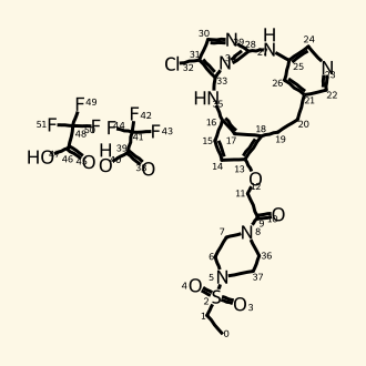 CCS(=O)(=O)N1CCN(C(=O)COc2ccc3cc2CCc2cncc(c2)Nc2ncc(Cl)c(n2)N3)CC1.O=C(O)C(F)(F)F.O=C(O)C(F)(F)F